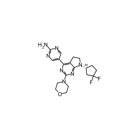 Nc1ncc(-c2nc(N3CCOCC3)nc3c2CCN3[C@@H]2CCC(F)(F)C2)cn1